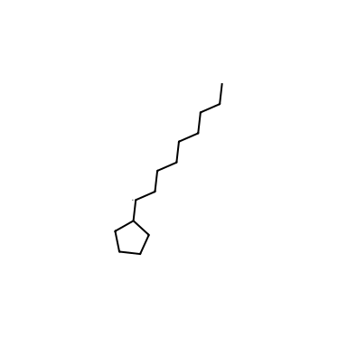 CCCCCCCC[CH]C1CCCC1